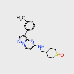 Cc1cccc(-c2cnn3ccc(NCC4CC[S+]([O-])CC4)nc23)c1